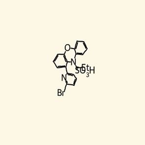 CCC(N1c2ccccc2Oc2cccc(-c3cccc(Br)n3)c21)S(=O)(=O)O